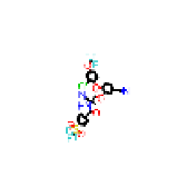 CC(C#N)(COc1cc(C#N)ccc1Oc1ccc(OC(F)(F)F)cc1Cl)NC(=O)c1ccc(S(=O)(=O)C(F)(F)F)cc1